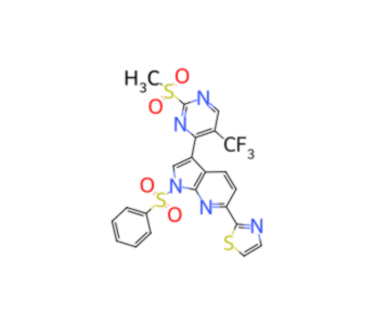 CS(=O)(=O)c1ncc(C(F)(F)F)c(-c2cn(S(=O)(=O)c3ccccc3)c3nc(-c4nccs4)ccc23)n1